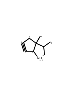 CC(C)C1(C)CC#CC1N